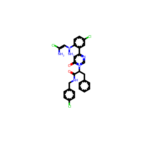 N/C(Cl)=C\N(N)c1ccc(Cl)cc1-c1cc(=O)n(C(Cc2ccccc2)C(=O)NCc2ccc(Cl)cc2)cn1